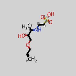 C=CCOCC(O)C(C)NCCS(=O)(=O)O